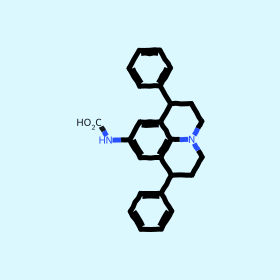 O=C(O)Nc1cc2c3c(c1)C(c1ccccc1)CCN3CCC2c1ccccc1